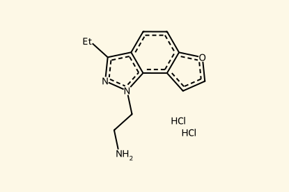 CCc1nn(CCN)c2c1ccc1occc12.Cl.Cl